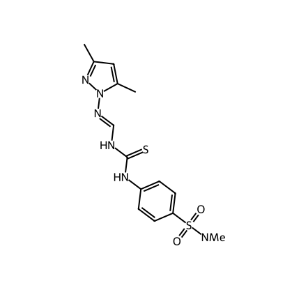 CNS(=O)(=O)c1ccc(NC(=S)NC=Nn2nc(C)cc2C)cc1